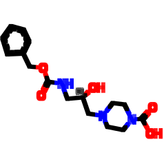 O=C(NC[C@@H](O)CN1CCN(C(=O)O)CC1)OCc1ccccc1